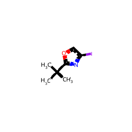 CC(C)(C)c1nc(I)co1